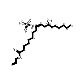 C=CCOC(=O)CCCCCCC/C=C\C[C@H](O)CCCCCC.O=S(=O)(O)O